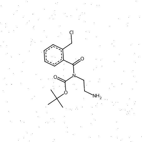 CC(C)(C)OC(=O)N(CCN)C(=O)c1ccccc1CCl